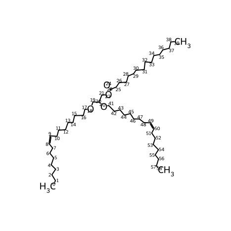 CCCCCCCC/C=C\CCCCCCCCOCC(COC(=O)CCCCCCCCCCCCCCC)OCCCCCCCC/C=C\CCCCCCCC